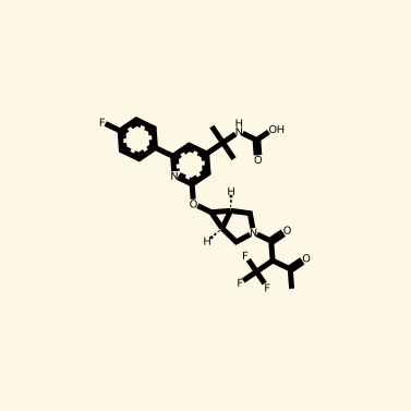 CC(=O)C(C(=O)N1C[C@@H]2C(Oc3cc(C(C)(C)NC(=O)O)cc(-c4ccc(F)cc4)n3)[C@@H]2C1)C(F)(F)F